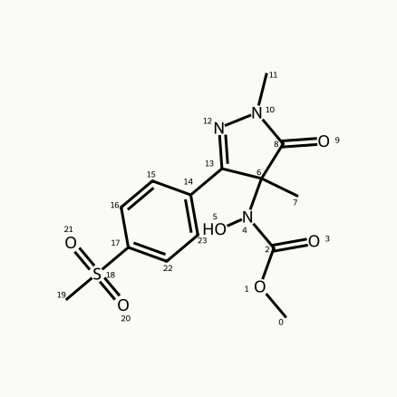 COC(=O)N(O)C1(C)C(=O)N(C)N=C1c1ccc(S(C)(=O)=O)cc1